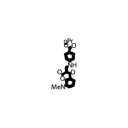 CCCOC(=O)c1ccc(NC=C2C(=O)Oc3c(NC)cccc3C2=O)cc1